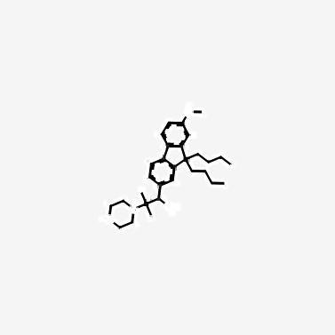 CCCCC1(CCCC)c2cc(OC)ccc2-c2ccc(C(O)C(C)(C)N3CCOCC3)cc21